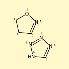 C1=NOCC1.c1nnn[nH]1